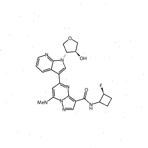 CNc1cc(-c2cn([C@@H]3COC[C@H]3O)c3ncccc23)nc2c(C(=O)NC3CC[C@@H]3F)cnn12